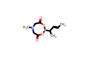 C/C=C/C(C)B1OC(=O)CN(C)CC(=O)O1